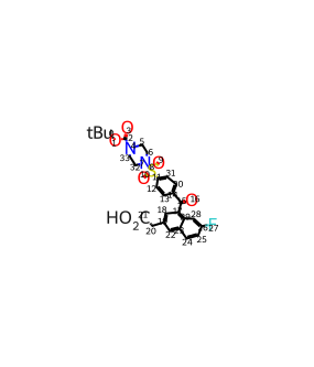 CC(C)(C)OC(=O)N1CCN(S(=O)(=O)c2ccc(C(=O)c3cc(CC(=O)O)cc4ccc(F)cc34)cc2)CC1